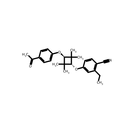 CCc1cc(O[C@H]2C(C)(C)[C@H](Oc3ccc(C(C)=O)cc3)C2(C)C)ccc1C#N